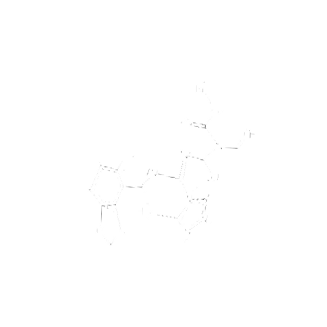 C=CN(C(=O)OC(C)(C)C)C(C)/N=C(/NCc1c(F)ccc2c1CCO2)n1cnnc1C